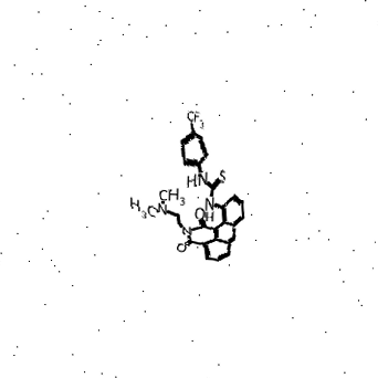 CN(C)CCN1C(=O)c2cccc3cc4cccc(NC(=S)Nc5ccc(C(F)(F)F)cc5)c4c(c23)C1=O